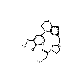 CCC(=O)N1CC[C@H](Oc2ccc3c(c2)N(c2cnc(Cl)c(OC)c2)CCO3)C1